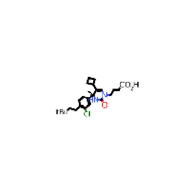 CC(C)(C)CCc1ccc([C@@]2(C)NC(=O)N(CCCC(=O)O)C=C2C2CCC2)cc1Cl